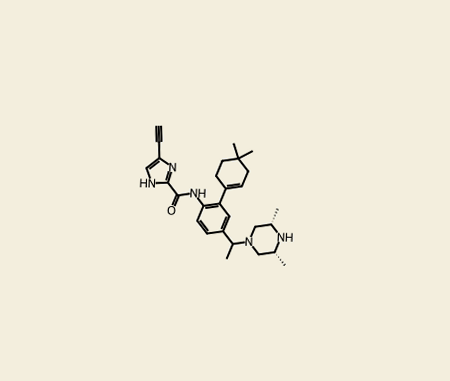 C#Cc1c[nH]c(C(=O)Nc2ccc(C(C)N3C[C@@H](C)N[C@@H](C)C3)cc2C2=CCC(C)(C)CC2)n1